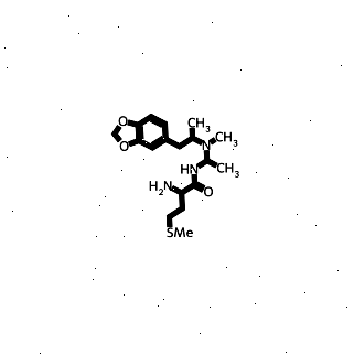 CSCCC(N)C(=O)NC(C)N(C)C(C)Cc1ccc2c(c1)OCO2